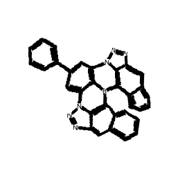 c1ccc(-c2cc3c4c(c2)-n2nnc5cc6ccccc6c(c52)B4c2c4ccccc4cc4nnn-3c24)cc1